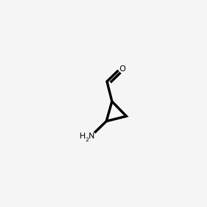 NC1CC1C=O